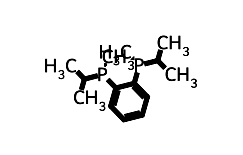 CC(C)[P@](C)c1ccccc1[P@@](C)C(C)C